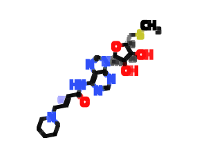 CSC[C@H]1O[C@@H](n2cnc3c(NC(=O)/C=C/CN4CCCCC4)ncnc32)[C@H](O)[C@@H]1O